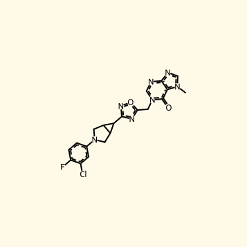 Cn1cnc2ncn(Cc3nc(C4C5CN(c6ccc(F)c(Cl)c6)CC54)no3)c(=O)c21